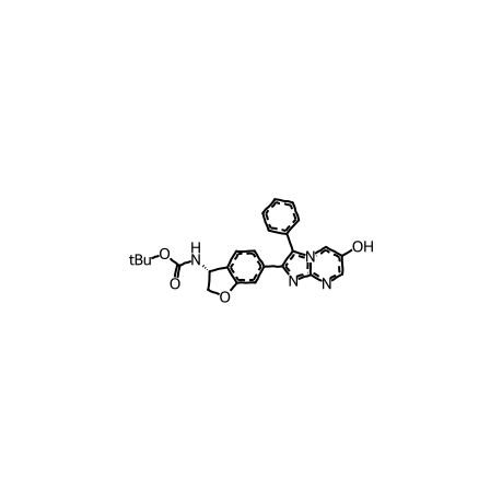 CC(C)(C)OC(=O)N[C@H]1COc2cc(-c3nc4ncc(O)cn4c3-c3ccccc3)ccc21